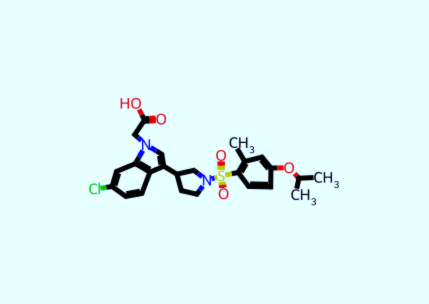 Cc1cc(OC(C)C)ccc1S(=O)(=O)N1CCC(c2cn(CC(=O)O)c3cc(Cl)ccc23)C1